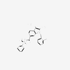 CCCc1c(C=O)c2ccc(C(=O)NS(=O)(=O)c3ccccc3)cc2n1Cc1ccccc1Cl